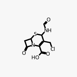 O=CNC1SC2CC(=O)N2C(C(=O)O)=C1CCl